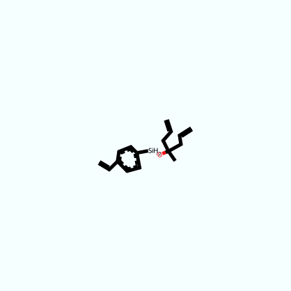 C=CCC(C)(CC=C)O[SiH2]c1ccc(C=C)cc1